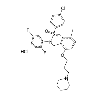 Cc1ccc(OCCCN2CCCCC2)c(CN(c2cc(F)ccc2F)S(=O)(=O)c2ccc(Cl)cc2)c1.Cl